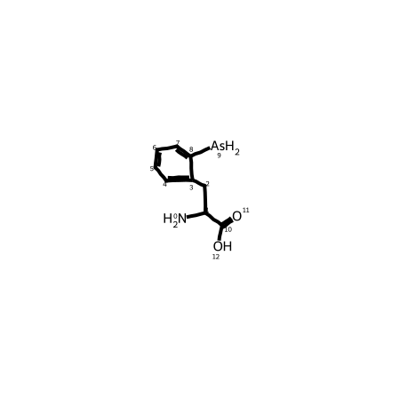 NC(Cc1ccccc1[AsH2])C(=O)O